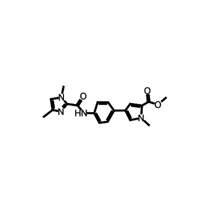 COC(=O)c1cc(-c2ccc(NC(=O)c3nc(C)cn3C)cc2)cn1C